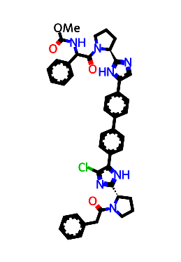 COC(=O)NC(C(=O)N1CCC[C@H]1c1ncc(-c2ccc(-c3ccc(-c4[nH]c([C@@H]5CCCN5C(=O)Cc5ccccc5)nc4Cl)cc3)cc2)[nH]1)c1ccccc1